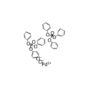 O=P(Oc1ccccc1)(Oc1ccccc1)Oc1ccccc1.O=P(Oc1ccccc1)(Oc1ccccc1)Oc1ccccc1.[Cl-].[Cl-].[Pd+2]